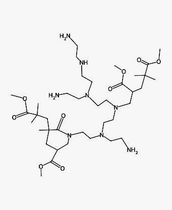 COC(=O)C(CN(CCN(CCN)CCNCCN)CCN(CCN)CCN1CC(C(=O)OC)CC(C)(CC(C)(C)C(=O)OC)C1=O)CC(C)(C)C(=O)OC